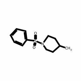 CC1CCN(S(=O)(=O)c2cc[c]cc2)CC1